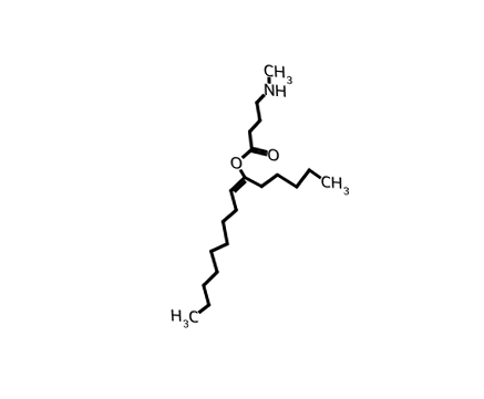 CCCCCCCC/C=C(\CCCCC)OC(=O)CCCNC